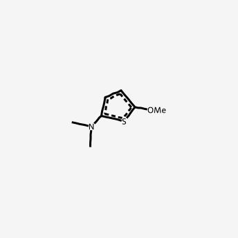 COc1ccc(N(C)C)s1